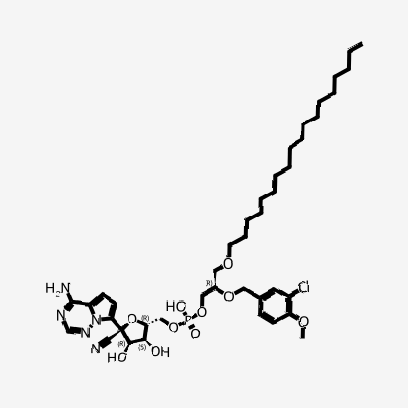 CCCCCCCCCCCCCCCCCCOC[C@H](COP(=O)(O)OC[C@H]1O[C@@](C#N)(c2ccc3c(N)ncnn23)[C@H](O)[C@@H]1O)OCc1ccc(OC)c(Cl)c1